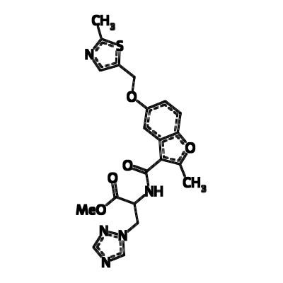 COC(=O)C(Cn1cncn1)NC(=O)c1c(C)oc2ccc(OCc3cnc(C)s3)cc12